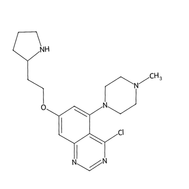 CN1CCN(c2cc(OCCC3CCCN3)cc3ncnc(Cl)c23)CC1